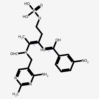 C/C(=C(CCOP(=O)(O)O)/[SH]=C(\O)c1cccc([N+](=O)[O-])c1)N(C=O)Cc1cnc(C)nc1N